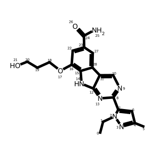 CCn1nc(C)cc1-c1ncc2c(n1)[nH]c1c(OCCCO)cc(C(N)=O)cc12